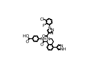 O=C(O)c1ccc(NC(=O)C2c3cccc(-c4cn[nH]c4)c3CCN2C(=O)c2cn(-c3cccc(Cl)c3F)nn2)cc1